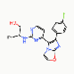 CC(C)[C@@H](CO)Nc1nccc(-c2c(-c3ccc(F)cc3)nc3occn23)n1